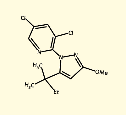 CCC(C)(C)c1cc(OC)nn1-c1ncc(Cl)cc1Cl